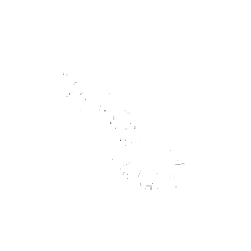 COCOc1ccccc1-c1cc2c3c([nH]c2nn1)CCN(c1nccc(N2CCN(C(=O)OC(C)(C)C)CC2)n1)[C@H]3C